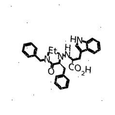 CCN(N[C@@H](Cc1c[nH]c2ccccc12)C(=O)O)[C@@H](Cc1ccccc1)C(=O)N(C)Cc1ccccc1